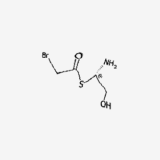 N[C@H](CO)SC(=O)CBr